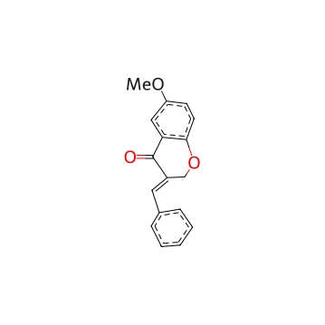 COc1ccc2c(c1)C(=O)C(=Cc1ccccc1)CO2